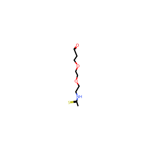 CC(=S)NCCOCCOCCC=O